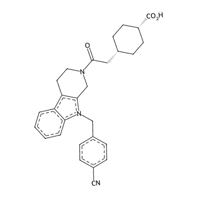 N#Cc1ccc(Cn2c3c(c4ccccc42)CCN(C(=O)C[C@H]2CC[C@@H](C(=O)O)CC2)C3)cc1